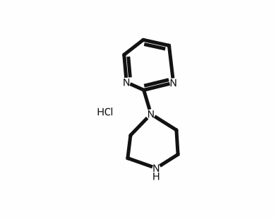 Cl.c1cnc(N2CCNCC2)nc1